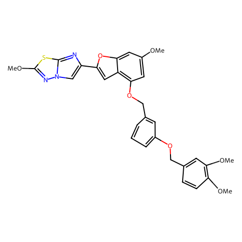 COc1cc(OCc2cccc(OCc3ccc(OC)c(OC)c3)c2)c2cc(-c3cn4nc(OC)sc4n3)oc2c1